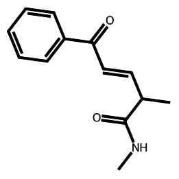 CNC(=O)C(C)C=CC(=O)c1ccccc1